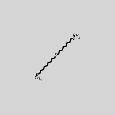 CSCCCCCCCCCSCCCCCCCCSC